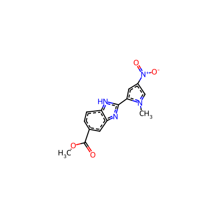 COC(=O)c1ccc2[nH]c(-c3cc([N+](=O)[O-])cn3C)nc2c1